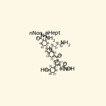 CCCCCCCCCN(C(=O)c1ccc(-c2cc3ccc(C(=O)c4cc(CC(=O)NO)c(-c5cccc(O)c5)s4)cc3n2CCCCN)cc1)C(N)CCCCCCC